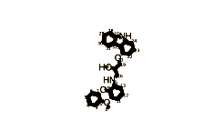 COc1ccccc1Oc1ccccc1NCC(O)COc1cccc2[nH]c3ccccc3c12